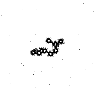 CC1(C)c2ccc(-c3cccc(-c4cccc(-c5nc(-c6ccccc6)cc(C6C7C=CC=CC76)n5)c4)c3)cc2-c2ccc3c4c(oc3c21)CCC=C4